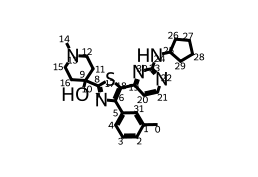 Cc1cccc(-c2nc(C3(O)CCN(C)CC3)sc2-c2ccnc(NC3CCCC3)n2)c1